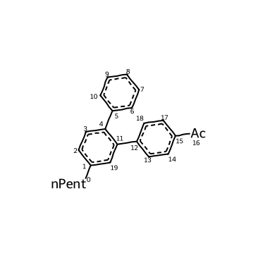 CCCCCc1ccc(-c2ccccc2)c(-c2ccc(C(C)=O)cc2)c1